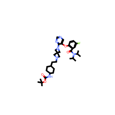 CC(C)N(C(=O)c1cc(F)ccc1Oc1cncnc1N1CC2(CN(CCC3CCC(NC(=O)OC(C)(C)C)CC3)C2)C1)C(C)C